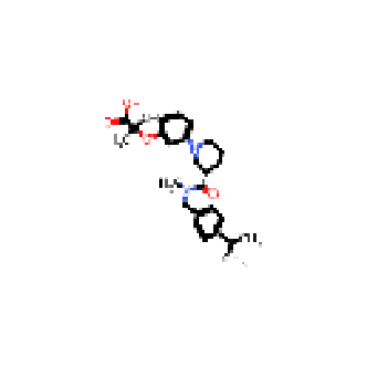 CC(C)c1ccc(CN(C)C(=O)[C@H]2CCCN(c3cccc(OC(C)(C)C(=O)O)c3)C2)cc1